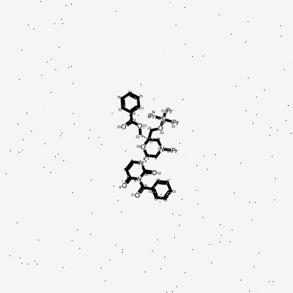 CC(C)N1C[C@H](n2ccc(=O)n(C(=O)c3ccccc3)c2=O)O[C@@](COC(=O)c2ccccc2)(CO[Si](C(C)C)(C(C)C)C(C)C)C1